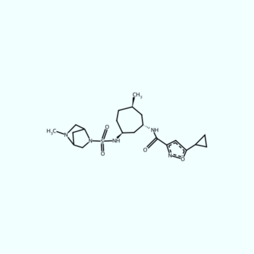 C[C@@H]1CC[C@H](NS(=O)(=O)N2CC3CC2CN3C)C[C@@H](NC(=O)c2cc(C3CC3)on2)C1